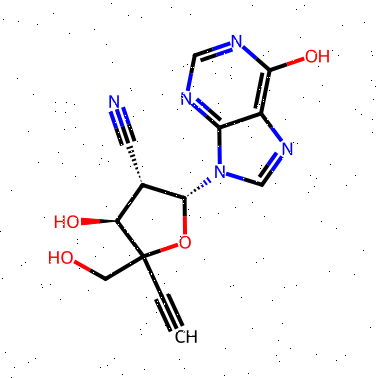 C#CC1(CO)O[C@@H](n2cnc3c(O)ncnc32)[C@@H](C#N)[C@@H]1O